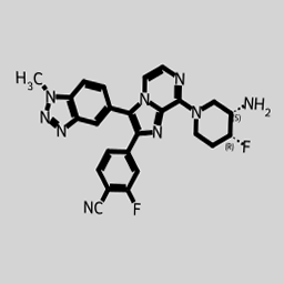 Cn1nnc2cc(-c3c(-c4ccc(C#N)c(F)c4)nc4c(N5CC[C@@H](F)[C@@H](N)C5)nccn34)ccc21